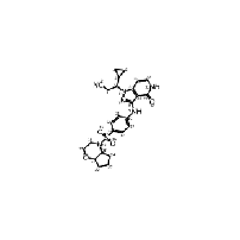 N#CCC(C1CC1)n1nc(Nc2ccc(S(=O)(=O)N3CCOC4CCCC43)cc2)c2c(=O)[nH]ccc21